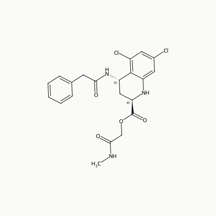 CNC(=O)COC(=O)[C@H]1C[C@H](NC(=O)Cc2ccccc2)c2c(Cl)cc(Cl)cc2N1